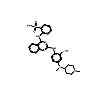 COc1cc(N(C)C2CCN(C)CC2)ccc1Nc1nc(Nc2ccccc2S(=O)(=O)C(C)C)c2ccccc2n1